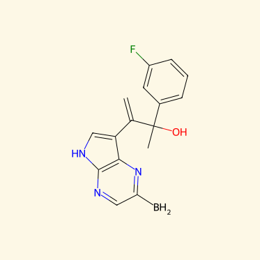 Bc1cnc2[nH]cc(C(=C)C(C)(O)c3cccc(F)c3)c2n1